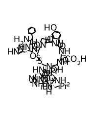 CCC(C)[C@H](NC(=O)[C@H](Cc1c[nH]cn1)NC(=O)[C@@H]1CSSC[C@H](NC(=O)[C@H](Cc2c[nH]cn2)NC(=O)[C@@H](N)Cc2ccccc2)C(=O)N2CCC[C@H]2C(=O)N[C@@H](Cc2ccc(O)cc2)C(=O)N[C@@H](CC(=O)O)C(=O)N[C@@H](CC(C)C)C(O)N1)C(=O)N[C@@H](CC(C)C)[C@@H](N)O